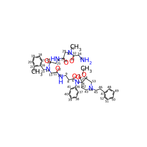 COC(=O)C1(N(C(=O)CCNC(=O)CN(Cc2ccccc2C)C(=O)CNC(=O)CN(C)C(=O)CN)c2ccccc2)CCN(CCc2ccccc2)CC1